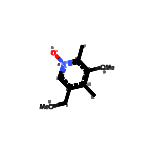 COCc1c[n+]([O-])c(C)c(OC)c1C